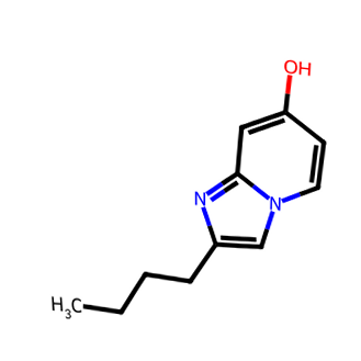 CCCCc1cn2ccc(O)cc2n1